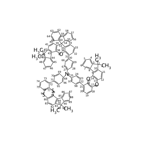 CC1(C)c2ccccc2-c2c1ccc1c2Oc2c(cccc2-c2ccc(N(c3ccc(-c4cccc5c4Oc4c(ccc6c4-c4ccccc4C6(C)C)C5(c4ccccc4)c4ccccc4)cc3)c3ccc(-c4cccc5c4Sc4c(ccc6c4-c4ccccc4C6(C)C)S5)cc3)cc2)O1